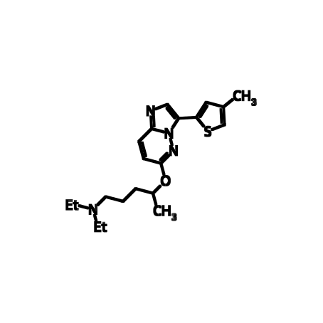 CCN(CC)CCCC(C)Oc1ccc2ncc(-c3cc(C)cs3)n2n1